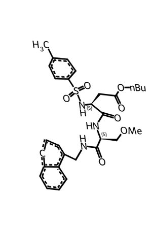 CCCCOC(=O)C[C@H](NS(=O)(=O)c1ccc(C)cc1)C(=O)N[C@@H](COC)C(=O)NCc1cccc2ccccc12